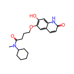 CN(C(=O)CCCOc1cc2ccc(=O)[nH]c2cc1O)C1CCCCC1